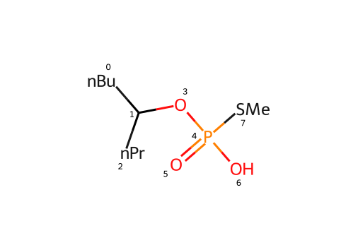 CCCCC(CCC)OP(=O)(O)SC